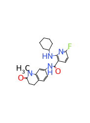 CN1C(=O)CCc2ccc(NC(=O)c3ccc(F)nc3NC3CCCCC3)cc21